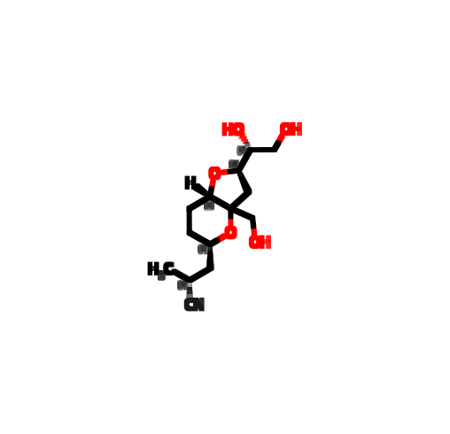 C[C@@H](C#N)C[C@H]1CC[C@@H]2O[C@@H]([C@H](O)CO)CC2(CO)O1